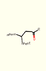 CCCCCC(CCCCC)CC(=O)CC